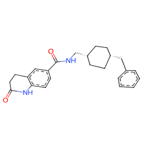 O=C1CCc2cc(C(=O)NC[C@H]3CC[C@@H](Cc4ccccc4)CC3)ccc2N1